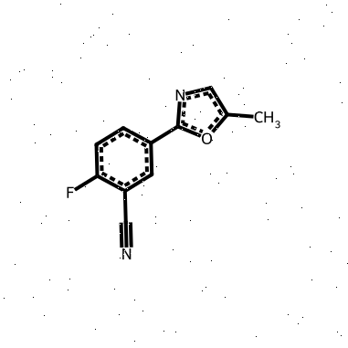 Cc1cnc(-c2ccc(F)c(C#N)c2)o1